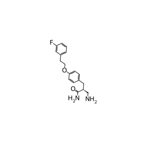 NC[C@H](Cc1ccc(OCCc2cccc(F)c2)cc1)C(N)=O